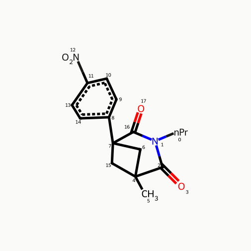 CCCN1C(=O)C2(C)CC(c3ccc([N+](=O)[O-])cc3)(C2)C1=O